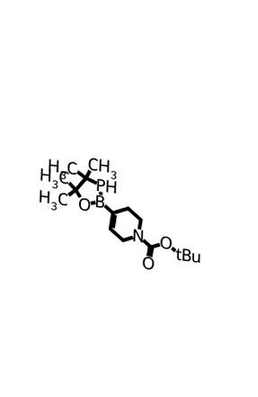 CC(C)(C)OC(=O)N1CC=C(B2OC(C)(C)C(C)(C)P2)CC1